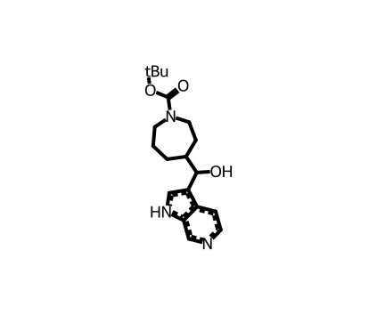 CC(C)(C)OC(=O)N1CCCC(C(O)c2c[nH]c3cnccc23)CC1